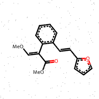 CO/C=C(/C(=O)OC)c1ccccc1C=Cc1ccco1